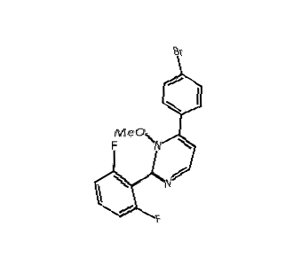 CON1C(c2ccc(Br)cc2)=CC=NC1c1c(F)cccc1F